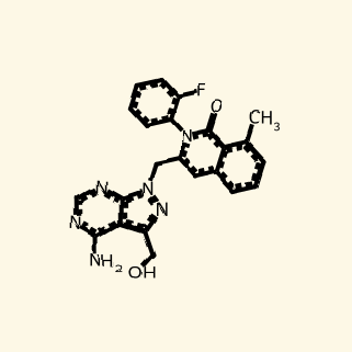 Cc1cccc2cc(Cn3nc(CO)c4c(N)ncnc43)n(-c3ccccc3F)c(=O)c12